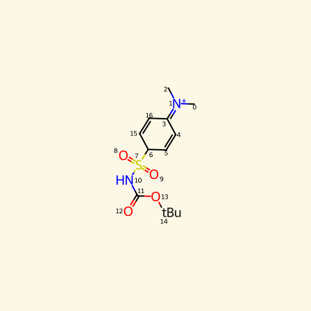 C[N+](C)=C1C=CC(S(=O)(=O)NC(=O)OC(C)(C)C)C=C1